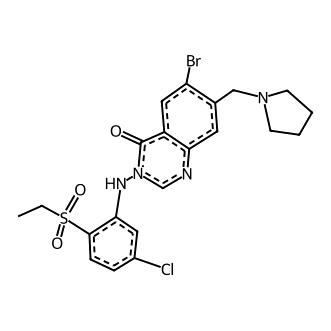 CCS(=O)(=O)c1ccc(Cl)cc1Nn1cnc2cc(CN3CCCC3)c(Br)cc2c1=O